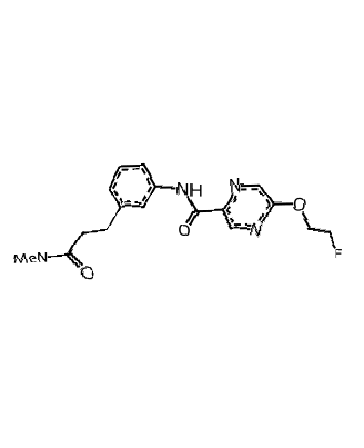 CNC(=O)CCc1cccc(NC(=O)c2cnc(OCCF)cn2)c1